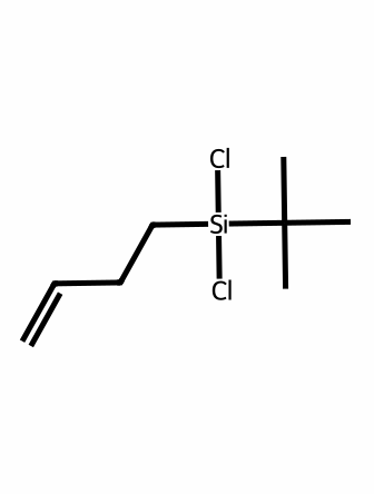 C=CCC[Si](Cl)(Cl)C(C)(C)C